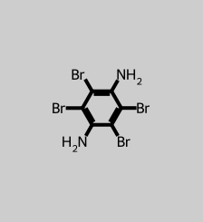 Nc1c(Br)c(Br)c(N)c(Br)c1Br